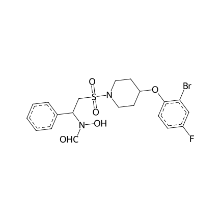 O=CN(O)C(CS(=O)(=O)N1CCC(Oc2ccc(F)cc2Br)CC1)c1ccccc1